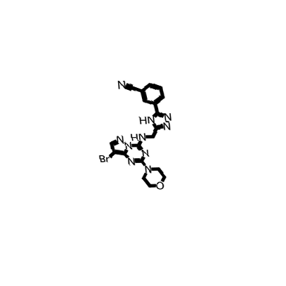 N#Cc1cccc(-c2nnc(CNc3nc(N4CCOCC4)nc4c(Br)cnn34)[nH]2)c1